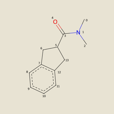 CN(C)C(=O)C1Cc2ccccc2C1